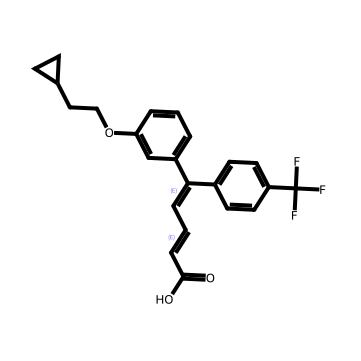 O=C(O)/C=C/C=C(\c1ccc(C(F)(F)F)cc1)c1cccc(OCCC2CC2)c1